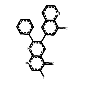 O=c1c(F)c[nH]c2nc(-c3ccccc3)c(-c3cc(Cl)c4ncccc4c3)cc12